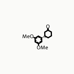 COc1cc(OC)cc([C@H]2CCCC(=O)C2)c1